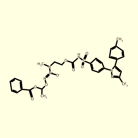 Cc1ccc(-c2cc(C(F)(F)F)nn2-c2ccc(S(=O)(=O)NC(=O)OCCN(C)/[N+]([O-])=N/OC(C)OC(=O)c3ccccc3)cc2)cc1